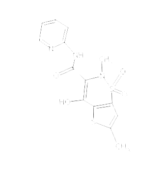 Cc1cc2c(s1)C(O)=C(C(=O)Nc1ccccn1)N(C)S2(=O)=O